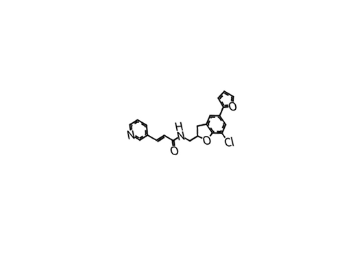 O=C(C=Cc1cccnc1)NCC1Cc2cc(-c3ccco3)cc(Cl)c2O1